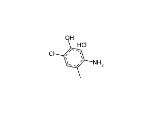 Cc1cc(Cl)c(O)cc1N.Cl